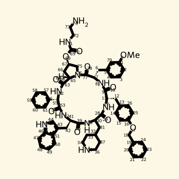 COc1cccc(C[C@@H]2NC(=O)[C@H](Cc3ccc(OCc4ccccc4)cc3)NC(=O)C(CC3CCNCC3)NC(=O)[C@@H](Cc3c[nH]c4ccccc34)NC(=O)[C@H](c3ccccc3)NC(=O)[C@@H]3C[C@@H](OC(=O)NCCN)CN3C2=O)c1